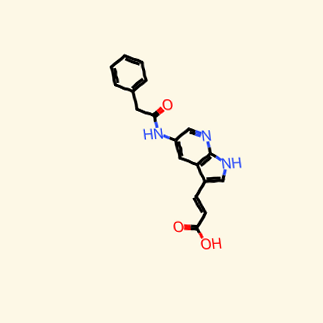 O=C(O)C=Cc1c[nH]c2ncc(NC(=O)Cc3ccccc3)cc12